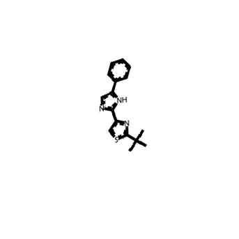 CC(C)(C)c1nc(-c2ncc(-c3ccccc3)[nH]2)cs1